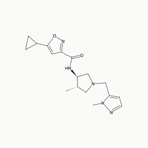 C[C@H]1CN(Cc2ccnn2C)C[C@@H]1NC(=O)c1cc(C2CC2)on1